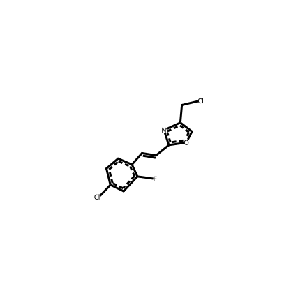 Fc1cc(Cl)ccc1C=Cc1nc(CCl)co1